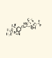 CC1CC(O)(C23CC(C(F)F)(C2)C3)CC(COc2cc(C(F)(F)F)c3c(c2)ncn3C(C)C)N1